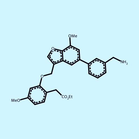 CCOC(=O)Cc1ccc(OC)cc1OCc1coc2c(OC)cc(-c3cccc(CN)c3)cc12